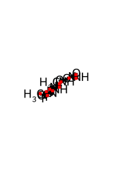 COc1ccc(-c2cnc3c(Nc4ccc(C(=O)NCCOCCN5CCNC(=O)C5)c(C)c4)nccn23)c(F)c1F